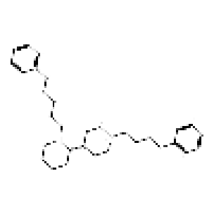 [CH]1CCN(CCCCCc2ccccc2)C(C2CCN(CCCCc3ccccc3)CC2)C1